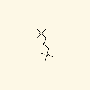 [CH3][Ge]([CH3])([CH3])[CH2][P][CH2][Ge]([CH3])([CH3])[CH3]